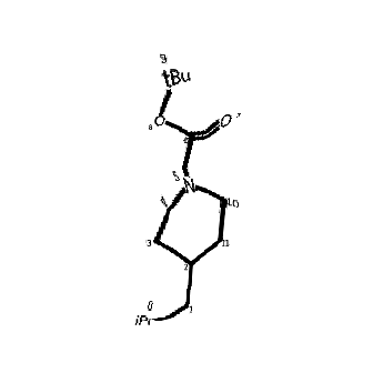 CC(C)CC1CCN(C(=O)OC(C)(C)C)CC1